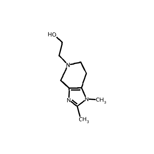 Cc1nc2c(n1C)CCN(CCO)C2